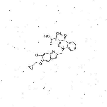 C[C@H](C(=O)O)c1nn(Cc2cn3cc(OCC4CC4)c(Cl)cc3n2)c2ccccc2c1=O